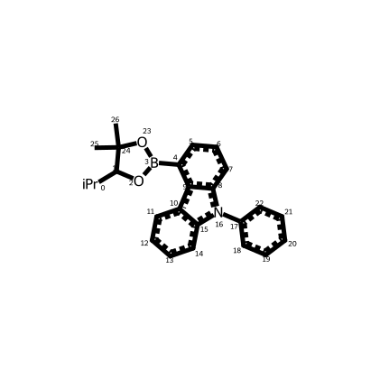 CC(C)C1OB(c2cccc3c2c2ccccc2n3-c2ccccc2)OC1(C)C